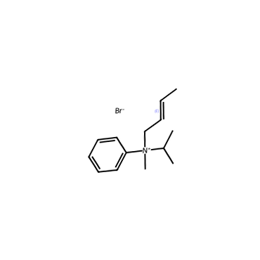 C/C=C/C[N+](C)(c1ccccc1)C(C)C.[Br-]